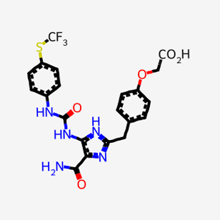 NC(=O)c1nc(Cc2ccc(OCC(=O)O)cc2)[nH]c1NC(=O)Nc1ccc(SC(F)(F)F)cc1